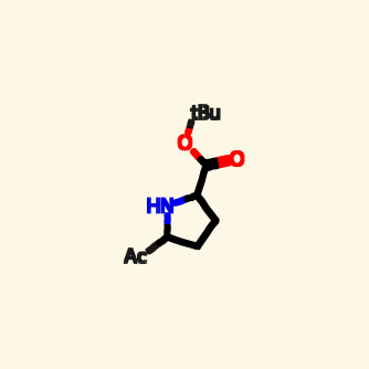 CC(=O)C1CCC(C(=O)OC(C)(C)C)N1